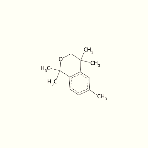 Cc1ccc2c(c1)C(C)(C)COC2(C)C